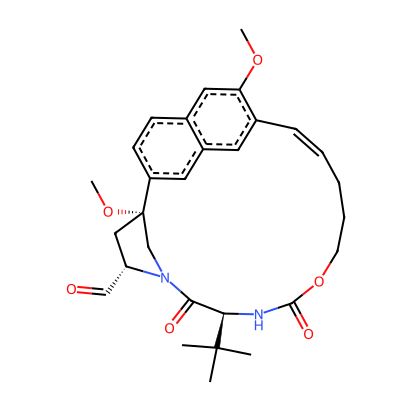 COc1cc2ccc3cc2cc1/C=C\CCCOC(=O)N[C@@H](C(C)(C)C)C(=O)N1C[C@@]3(OC)C[C@H]1C=O